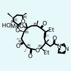 CC/C1=C\[C@](C)(CC(=O)n2ccnc2)[C@@H](CC)OC(=O)[C@H](C)C(=O)[C@H](C)[C@@H](O[C@@H]2O[C@H](C)C[C@H](C)[C@H]2O)[C@@](C)(OC)C[C@@H](C)C1=O